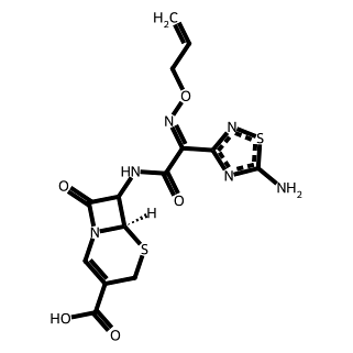 C=CCON=C(C(=O)NC1C(=O)N2C=C(C(=O)O)CS[C@H]12)c1nsc(N)n1